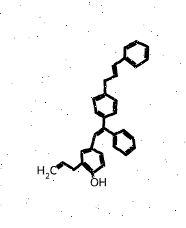 C=CCc1cc(/C=C(\c2ccccc2)c2ccc(C/C=C/c3ccccc3)cc2)ccc1O